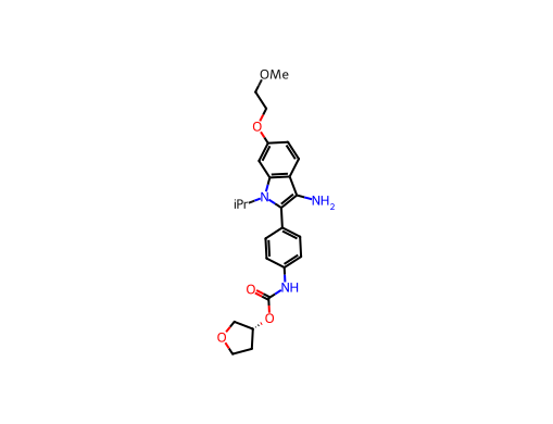 COCCOc1ccc2c(N)c(-c3ccc(NC(=O)O[C@@H]4CCOC4)cc3)n(C(C)C)c2c1